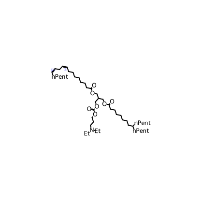 CCCCC/C=C\C/C=C\CCCCCCCC(=O)OCC(COC(=O)CCCCCCCC(CCCCC)CCCCC)COC(=O)OCCCN(CC)CC